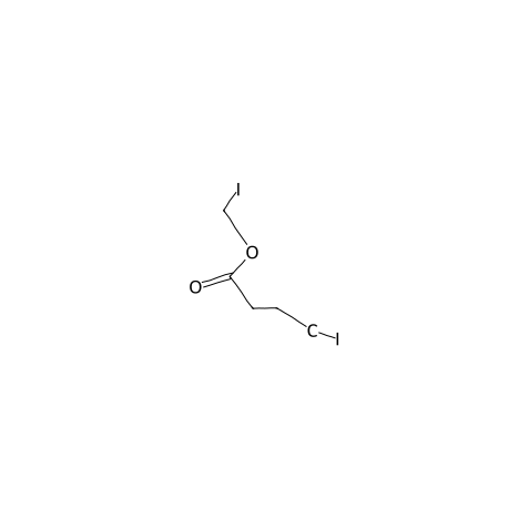 O=C(CCCI)OCI